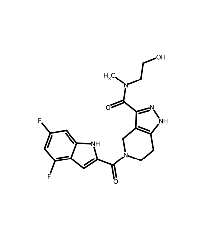 CN(CCO)C(=O)c1n[nH]c2c1CN(C(=O)c1cc3c(F)cc(F)cc3[nH]1)CC2